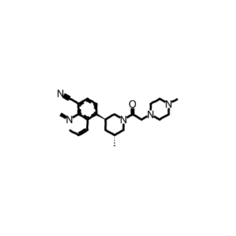 C=Nc1c(C#N)ccc([C@@H]2C[C@@H](C)CN(C(=O)CN3CCN(C)CC3)C2)c1/C=C\C